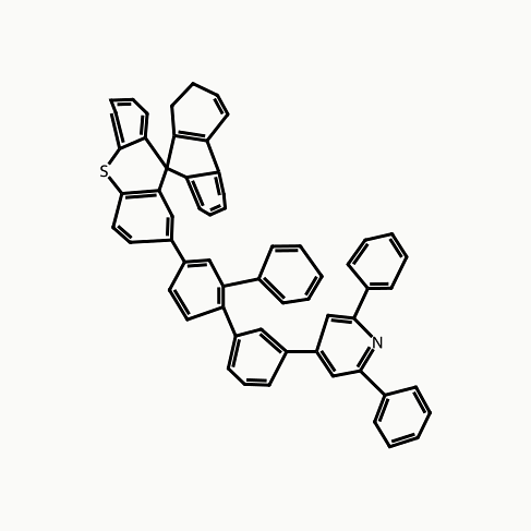 C1=CC2=C(CC1)C1(c3ccccc3Sc3ccc(-c4ccc(-c5cccc(-c6cc(-c7ccccc7)nc(-c7ccccc7)c6)c5)c(-c5ccccc5)c4)cc31)c1ccccc12